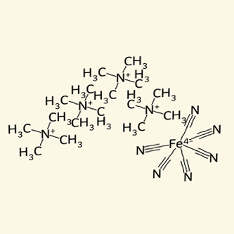 C[N+](C)(C)C.C[N+](C)(C)C.C[N+](C)(C)C.C[N+](C)(C)C.N#[C][Fe-4]([C]#N)([C]#N)([C]#N)([C]#N)[C]#N